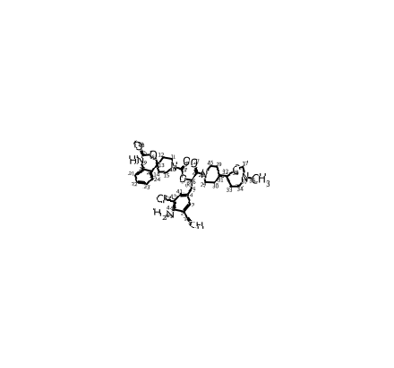 C#Cc1cc(C[C@@H](OC(=O)N2CCC3(CC2)OC(=O)Nc2ccccc23)C(=O)N2CCC(C3CCN(C)CC3)CC2)cc(Cl)c1N